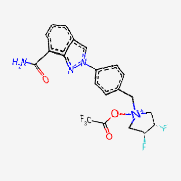 NC(=O)c1cccc2cn(-c3ccc(C[N+]4(OC(=O)C(F)(F)F)C[C@H](F)[C@@H](F)C4)cc3)nc12